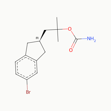 CC(C)(C[C@@H]1Cc2ccc(Br)cc2C1)OC(N)=O